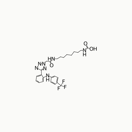 O=C(O)NCCCCCCCCNC(=O)Cn1nnc(-c2ccccc2Nc2ccc(C(F)(F)F)cc2)n1